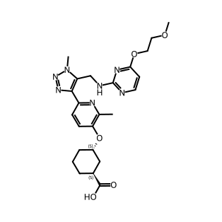 COCCOc1ccnc(NCc2c(-c3ccc(O[C@H]4CCC[C@H](C(=O)O)C4)c(C)n3)nnn2C)n1